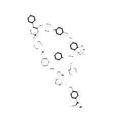 Cc1ncsc1-c1ccc([C@H](C)NC(=O)[C@@H]2CCCN2C(=O)[C@@H](NC(=O)C[C@H]2CC[C@@H](CC(=O)N3CCN(CC4(C)CCC(c5ccc(Cl)cc5)=C(CN5CCN(c6ccc(C(=O)NSc7ccc(N[C@H](CCN8CCOCC8)CSc8ccccc8)c(S(=O)(=O)C(F)(F)F)c7)cc6)CC5)C4)CC3)CC2)C(C)(C)C)cc1